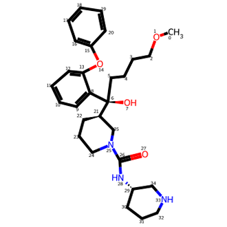 COCCCC[C@@](O)(c1ccccc1Oc1ccccc1)[C@@H]1CCCN(C(=O)N[C@H]2CCCNC2)C1